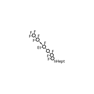 CCCCCCCc1cc(F)c2c(F)c(-c3ccc(-c4cc(F)c(C#Cc5cc(F)c(-c6cc(F)c(F)c(F)c6)c(F)c5)c(CC)c4)cc3)c(F)cc2c1